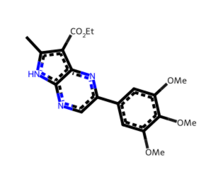 CCOC(=O)c1c(C)[nH]c2ncc(-c3cc(OC)c(OC)c(OC)c3)nc12